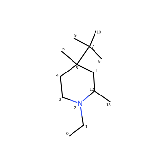 CCN1CCC(C)(C(C)(C)C)CC1C